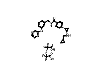 O=C(NCc1cccc(Oc2cnccn2)c1)c1ccc([C@@H]2C[C@H]2NCC2CC2)cc1.O=C(O)C(F)(F)F.O=C(O)C(F)(F)F